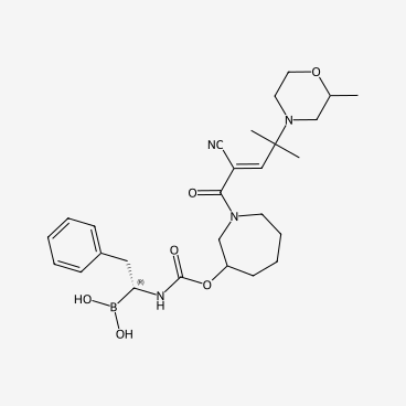 CC1CN(C(C)(C)C=C(C#N)C(=O)N2CCCCC(OC(=O)N[C@@H](Cc3ccccc3)B(O)O)C2)CCO1